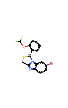 FC(F)Oc1ccccc1[C@@H]1SCc2nc3ccc(Br)cc3n21